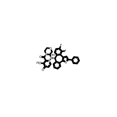 O=C1c2c(O)c(=O)ccn2N([C@@H]2c3ccccc3-c3sc(-c4ccccc4)cc3-c3c2ccc(F)c3F)[C@@H]2COCCN12